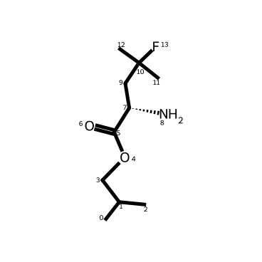 CC(C)COC(=O)[C@@H](N)CC(C)(C)F